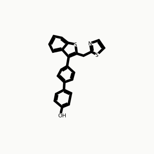 Oc1ccc(-c2ccc(-c3c(Cc4nccs4)sc4ccccc34)cc2)cc1